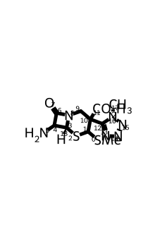 CSC1S[C@@H]2C(N)C(=O)N2CC1(C(=O)O)c1nnnn1C